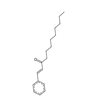 CCCCCCCCCC(=O)C=Cc1ccccc1